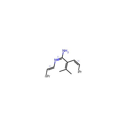 CCC/C=C/N=C(/N)C(/C=C\C(C)C)=C(C)C